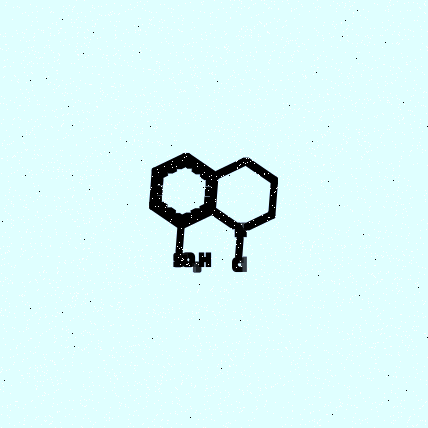 O=S(=O)(O)c1cccc2c1N(Cl)CCC2